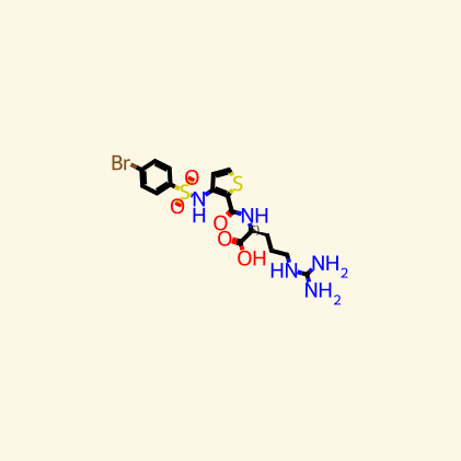 NC(N)NCCC[C@H](NC(=O)c1sccc1NS(=O)(=O)c1ccc(Br)cc1)C(=O)O